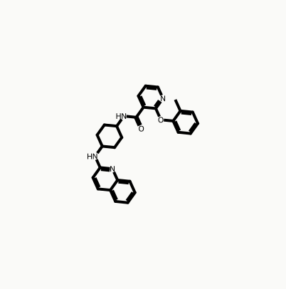 Cc1ccccc1Oc1ncccc1C(=O)NC1CCC(Nc2ccc3ccccc3n2)CC1